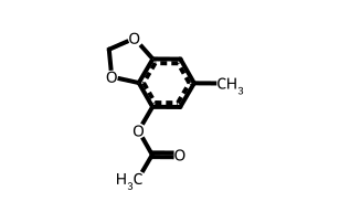 CC(=O)Oc1cc(C)cc2c1OCO2